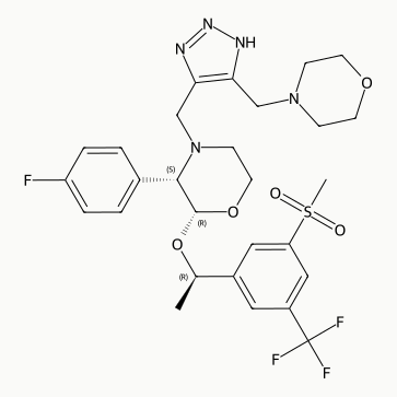 C[C@@H](O[C@H]1OCCN(Cc2nn[nH]c2CN2CCOCC2)[C@H]1c1ccc(F)cc1)c1cc(C(F)(F)F)cc(S(C)(=O)=O)c1